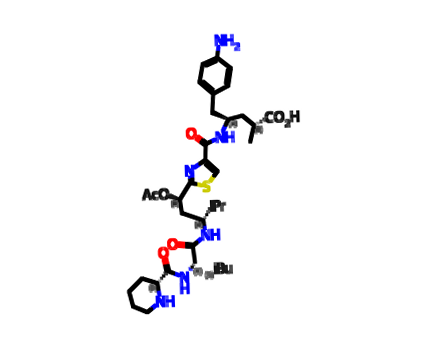 CC[C@H](C)[C@H](NC(=O)[C@H]1CCCCN1)C(=O)N[C@H](C[C@@H](OC(C)=O)c1nc(C(=O)N[C@@H](Cc2ccc(N)cc2)C[C@@H](C)C(=O)O)cs1)C(C)C